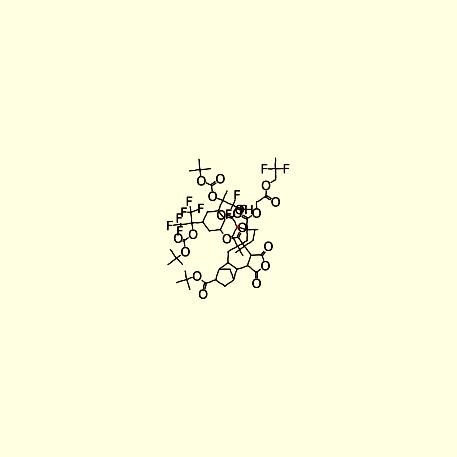 CCC(C)(C(=O)OC1CC(C(C)(OC(=O)OC(C)(C)C)C(F)(F)F)CC(C(OC(=O)OC(C)(C)C)(C(F)(F)F)C(F)(F)F)C1)C1C(=O)OC(=O)C1C1C2CC(C(=O)OC(C)(C)C)C(C2)C1CC(C)(CCC(=O)O)CC(C)(C)C(=O)OCC(=O)OCC(C)(F)F